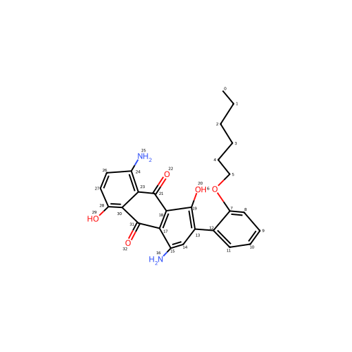 CCCCCCOc1ccccc1-c1cc(N)c2c(c1O)C(=O)c1c(N)ccc(O)c1C2=O